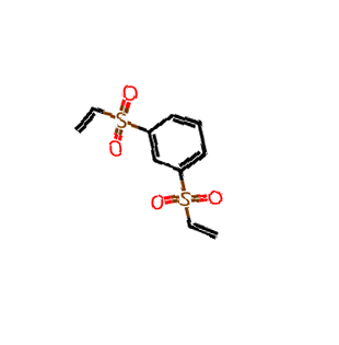 C=CS(=O)(=O)c1cccc(S(=O)(=O)C=C)c1